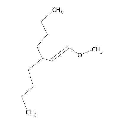 CCCCC(C=COC)CCCC